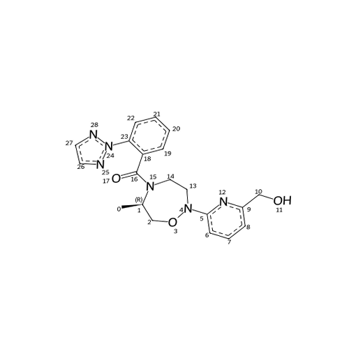 C[C@@H]1CON(c2cccc(CO)n2)CCN1C(=O)c1ccccc1-n1nccn1